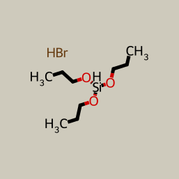 Br.CCCO[SiH](OCCC)OCCC